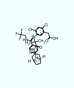 CC(C)(Oc1cc(CC(=O)O)c(Cl)cc1Cl)C(=O)N[C@H]1C[C@H]2CC[C@@H](C1)N2c1ccc(C(=O)NCC(F)(F)F)cn1